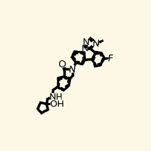 Cn1cnnc1-c1cc(F)ccc1-c1cccc(N2Cc3ccc(CNCC4(O)CCCC4)cc3C2=O)c1